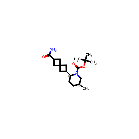 C[C@H]1CC[C@H](C2CC3(CC(C(N)=O)C3)C2)N(C(=O)OC(C)(C)C)C1